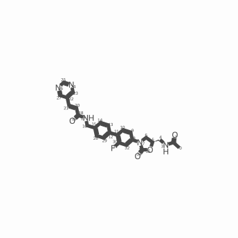 CC(=O)NC[C@H]1CN(c2ccc(-c3ccc(CNC(=O)C=Cc4cncnc4)cc3)c(F)c2)C(=O)O1